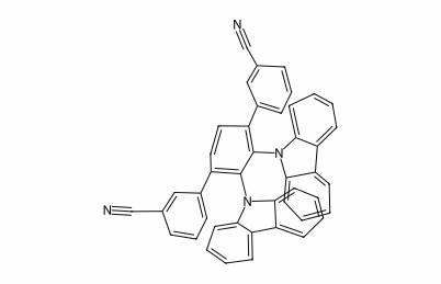 N#Cc1cccc(-c2ccc(-c3cccc(C#N)c3)c(-n3c4ccccc4c4ccccc43)c2-n2c3ccccc3c3ccccc32)c1